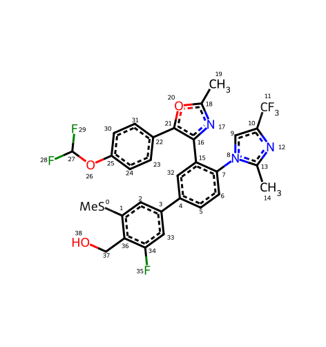 CSc1cc(-c2ccc(-n3cc(C(F)(F)F)nc3C)c(-c3nc(C)oc3-c3ccc(OC(F)F)cc3)c2)cc(F)c1CO